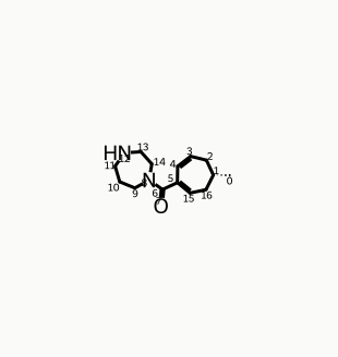 C[C@H]1CC=CC(C(=O)N2CCCNCC2)=CC1